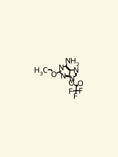 CCOc1nc(N)c2ncn(OC(=O)C(F)(F)F)c2n1